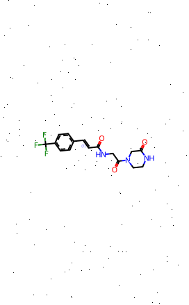 O=C(/C=C/c1ccc(C(F)(F)F)cc1)NCC(=O)N1CCNC(=O)C1